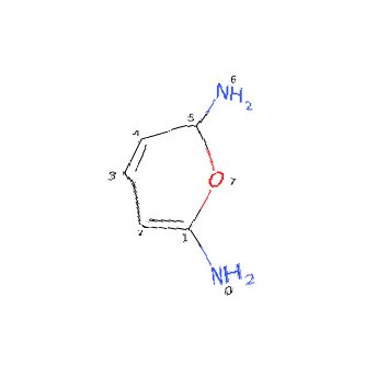 NC1=CC=CC(N)O1